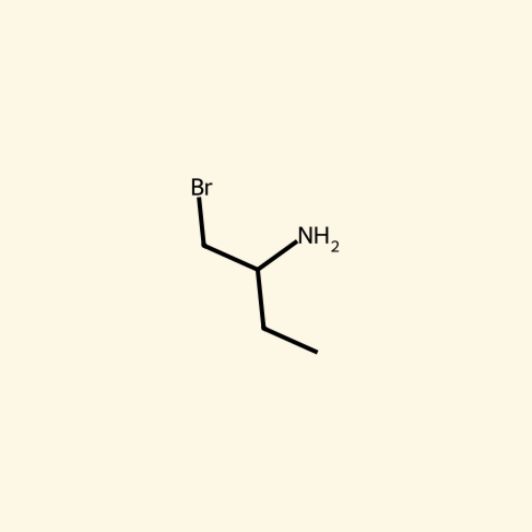 CCC(N)CBr